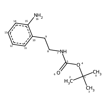 CC(C)(C)OC(=O)NCCc1ccccc1N